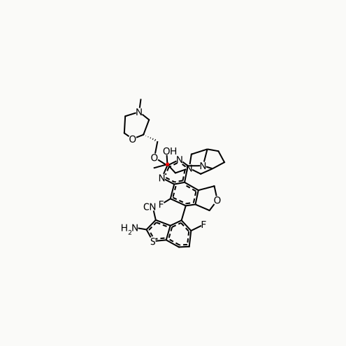 CC(O)CN1CC2CCC(C1)N2c1nc(OC[C@H]2CN(C)CCO2)nc2c(F)c(-c3c(F)ccc4sc(N)c(C#N)c34)c3c(c12)COC3